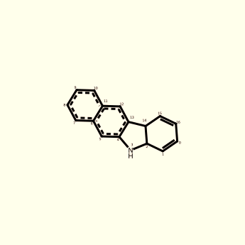 C1=CC2Nc3cc4ccccc4cc3C2C=C1